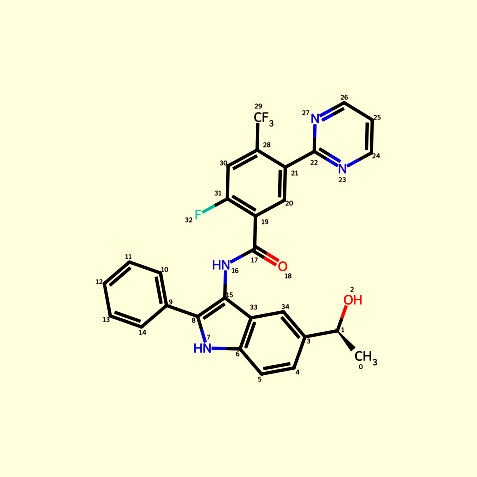 C[C@H](O)c1ccc2[nH]c(-c3ccccc3)c(NC(=O)c3cc(-c4ncccn4)c(C(F)(F)F)cc3F)c2c1